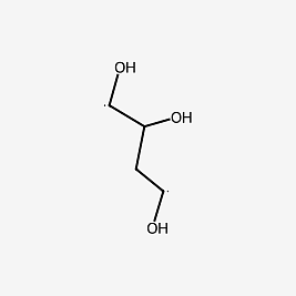 O[CH]CC(O)[CH]O